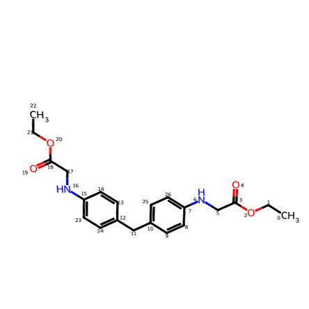 CCOC(=O)CNc1ccc(Cc2ccc(NCC(=O)OCC)cc2)cc1